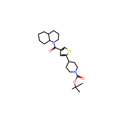 CC(C)(C)OC(=O)N1CCC(c2cc(C(=O)N3CCCC4CCCCC43)cs2)CC1